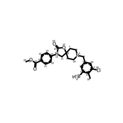 Bc1cc(CN2CCC3(CC2)CN(c2ccc(C(=O)OC)cc2)C(=O)O3)cc(Cl)c1C